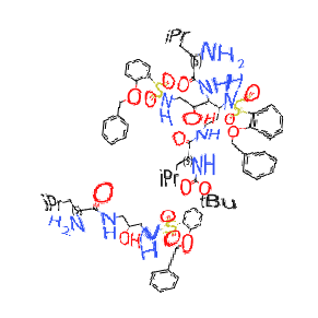 CC(C)C[C@H](N)C(=O)NCC(O)CNS(=O)(=O)c1ccccc1OCc1ccccc1.CC(C)C[C@H](NC(=O)OC(C)(C)C)C(=O)NCCC(NS(=O)(=O)c1ccccc1OCc1ccccc1)C(NC(=O)[C@@H](N)CC(C)C)C(O)CNS(=O)(=O)c1ccccc1OCc1ccccc1